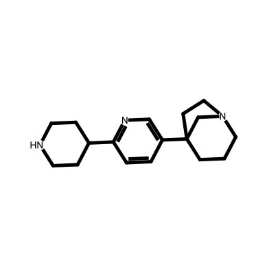 c1cc(C2CCNCC2)ncc1C12CCCN(CC1)C2